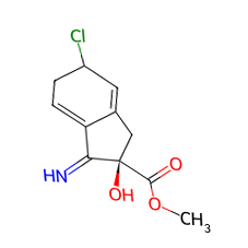 COC(=O)[C@@]1(O)CC2=CC(Cl)CC=C2C1=N